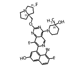 C[C@@]1(O)CCCN(c2nc(OC[C@@]34CCCN3C[C@H](F)C4)nc3c(F)c(-c4cc(O)cc5ccc(F)c(Br)c45)ncc23)C1